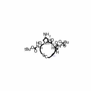 CCC(C)S(=O)(=O)NC(=O)[C@@]12C[C@H]1/C=C\CCCCC[C@H](NC(=O)OC(C)(C)C)C(=O)N1C[C@H](N)C[C@H]1C(=O)N2